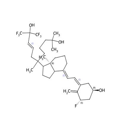 C=C1/C(=C\C=C2/CCC[C@@]3(C)C2CCC3C(C)(C/C=C/C(O)(C(F)(F)F)C(F)(F)F)CCCC(C)(C)O)C[C@@H](O)C[C@@H]1F